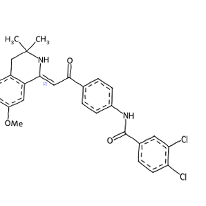 COc1ccc2c(c1)/C(=C/C(=O)c1ccc(NC(=O)c3ccc(Cl)c(Cl)c3)cc1)NC(C)(C)C2